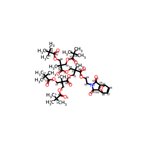 CC(C)(C)C(=O)OCC(C)(COC(=O)C(C)(C)C)C(=O)OCC(C)(COC(=O)C(C)(COC(=O)C(C)(C)C)COC(=O)C(C)(C)C)C(=O)OCCN1C(=O)C2C3C=CC(O3)C2C1=O